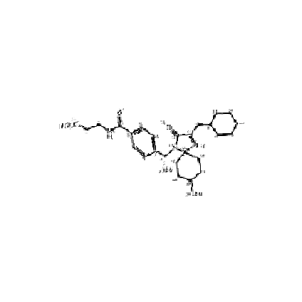 CCCC[C@H](c1ccc(C(=O)NCCC(=O)O)cc1)N1C(=O)C(CC2CCCCC2)=NC12CCC(C(C)(C)C)CC2